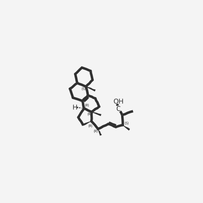 CC(CO)[C@@H](C)C=C[C@@H](C)[C@H]1CC[C@H]2C3=C(CC[C@]12C)[C@@]1(C)CCCCC1CC3